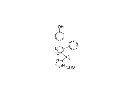 O=Cn1ccnc1C1(c2onc(-c3ccc(O)cc3)c2-c2ccccc2)CC1